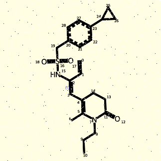 C=C/C(=C\C1=C(C)N(CCC)C(=O)CC1)NS(=O)(=O)Cc1ccc(C2CC2)cc1